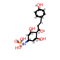 O=C(CCc1ccc(O)cc1)C1C(O)=CC(=NP(=O)(O)O)C=C1O